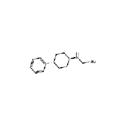 CC(C)(C)CN[C@H]1CC[C@H](c2ccccc2)CC1